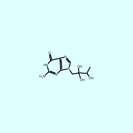 CC(O)C(O)(O)Cn1cnc2c(=O)[nH]c(N)nc21